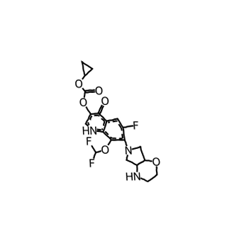 O=C(Oc1c[nH]c2c(OC(F)F)c(N3CC4NCCOC4C3)c(F)cc2c1=O)OC1CC1